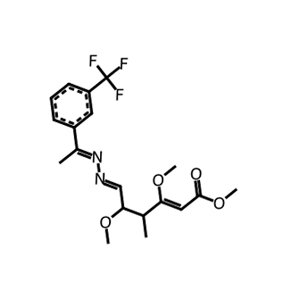 COC(=O)C=C(OC)C(C)C(C=NN=C(C)c1cccc(C(F)(F)F)c1)OC